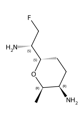 C[C@H]1O[C@H]([C@H](N)CF)CC[C@H]1N